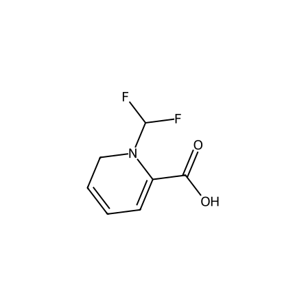 O=C(O)C1=CC=CCN1C(F)F